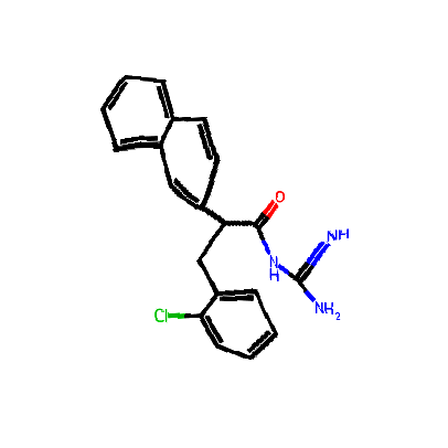 N=C(N)NC(=O)C(Cc1ccccc1Cl)c1ccc2ccccc2c1